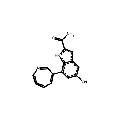 N#Cc1cc(C2=CC=C=CN=C2)c2[nH]c(C(N)=O)cc2c1